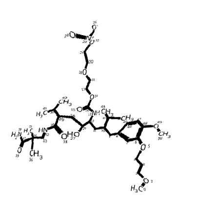 COCCCOc1cc(CC(CC(NC(=O)OCCOCCO[N+](=O)[O-])C(O)CC(C(=O)NCC(C)(C)C(N)=O)C(C)C)C(C)C)ccc1OC